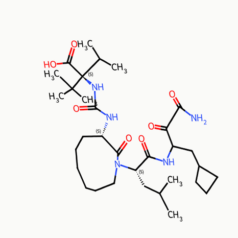 CC(C)C[C@@H](C(=O)NC(CC1CCC1)C(=O)C(N)=O)N1CCCCCC[C@H](NC(=O)N[C@@](C(=O)O)(C(C)C)C(C)(C)C)C1=O